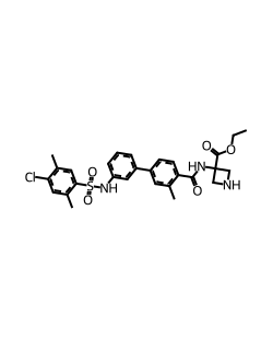 CCOC(=O)C1(NC(=O)c2ccc(-c3cccc(NS(=O)(=O)c4cc(C)c(Cl)cc4C)c3)cc2C)CNC1